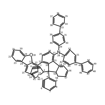 C1#CC(C2(c3c#cccc3)c3c(-c4cccc5c4oc4ccccc45)ccc(N(c4ccc(-c5ccccc5)cc4)c4ccc(-c5ccccc5)cc4)c3C3=CC=CCC32)CC=C1